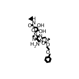 CN(Cc1nc(N)c2ncn([C@@H]3O[C@H](C(=O)NC4CC4)C(O)C3O)c2n1)C(=O)OCCOCc1ccccc1